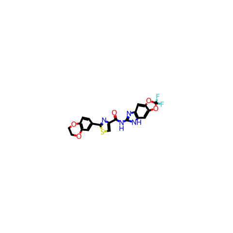 O=C(Nc1nc2cc3c(cc2[nH]1)OC(F)(F)O3)c1csc(-c2ccc3c(c2)OCCO3)n1